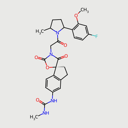 CNC(=O)Nc1ccc2c(c1)CC[C@@]21OC(=O)N(CC(=O)N2C(C)CCC2c2ccc(F)cc2OC)C1=O